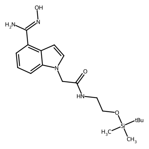 CC(C)(C)[Si](C)(C)OCCNC(=O)Cn1ccc2c(C(N)=NO)cccc21